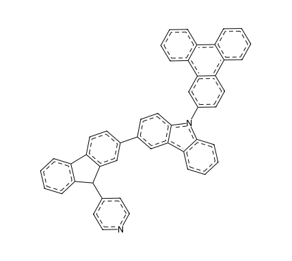 c1ccc2c(c1)-c1ccc(-c3ccc4c(c3)c3ccccc3n4-c3ccc4c5ccccc5c5ccccc5c4c3)cc1C2c1ccncc1